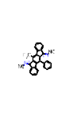 [C-]#[N+]/N=c1\c2ccccc2c2c(C(F)(F)F)c3/c(=N/C#N)c4ccccc4c3c(-c3ccccc3)c12